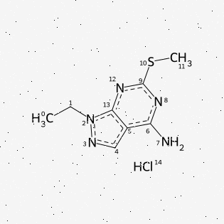 CCn1ncc2c(N)nc(SC)nc21.Cl